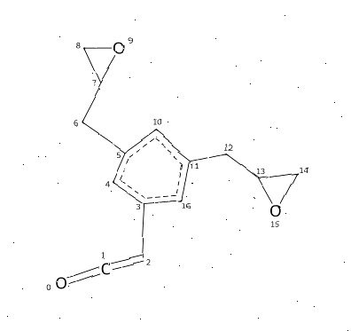 O=C=Cc1cc(CC2CO2)cc(CC2CO2)c1